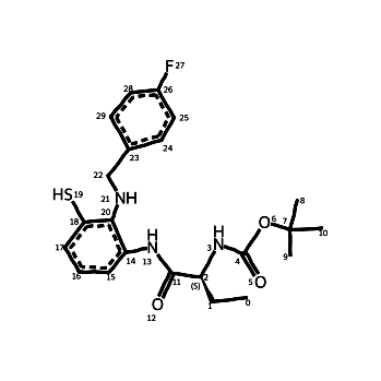 CC[C@H](NC(=O)OC(C)(C)C)C(=O)Nc1cccc(S)c1NCc1ccc(F)cc1